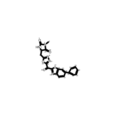 CN1C(=O)NC(Cc2nnc(C(=O)c3nc4ccc(-c5ccccc5)cc4s3)o2)C1=O